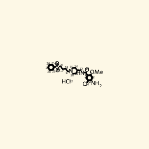 COc1cc(N)c(Cl)cc1C(=O)NCC1CCN(CCCCS(=O)(=O)c2ccccc2)CC1.Cl